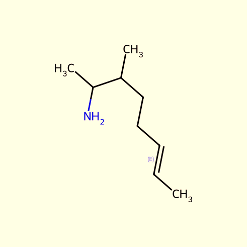 C/C=C/CCC(C)C(C)N